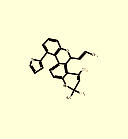 CC=CC1Oc2cccc(-c3ccco3)c2-c2ccc3c(c21)C(C)=CC(C)(C)N3